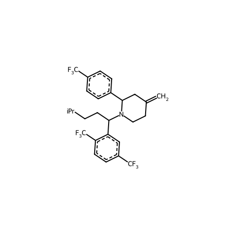 C=C1CCN(C(CCC(C)C)c2cc(C(F)(F)F)ccc2C(F)(F)F)C(c2ccc(C(F)(F)F)cc2)C1